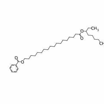 CCCCCC(CC)OC(=O)CCCCCCCCCCCCCCCCCOC(=O)c1ccccc1